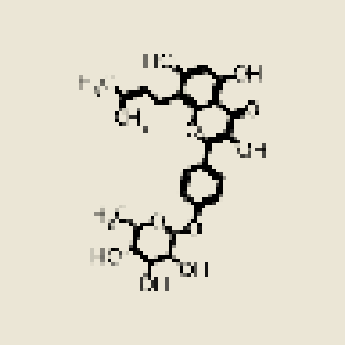 CC(C)=CCc1c(O)cc(O)c2c(=O)c(O)c(-c3ccc(O[C@@H]4O[C@H](C)[C@@H](O)[C@H](O)[C@@H]4O)cc3)oc12